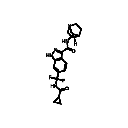 O=C(N[C@@H]1CN2CCC1CC2)c1n[nH]c2cc(C(F)(F)NC(=O)C3CC3)ccc12